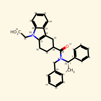 C[C@@H](c1ccccc1)N(Cc1ccccc1)C(=O)C1CCc2c(c3ccccc3n2CC(=O)O)C1